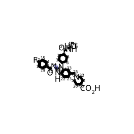 CC(C)NC(=O)[C@H]1CC[C@@H](n2/c(=N/C(=O)c3ccc(F)cc3)[nH]c3ccc(CN4CCC(C(=O)O)CC4)cc32)CC1.Cl